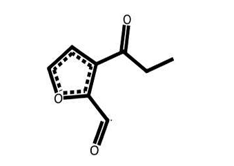 CCC(=O)c1ccoc1[C]=O